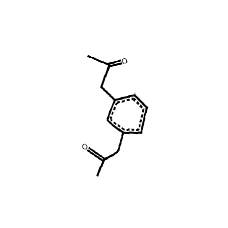 CC(=O)Cc1[c]ccc(CC(C)=O)c1